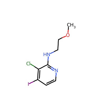 COCCNc1nccc(I)c1Cl